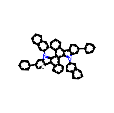 c1ccc(-c2ccc3c4c5ccccc5c5c(c6ccccc6c6c7ccc(-c8ccccc8)cc7n(-c7ccc8ccccc8c7)c65)c4n(-c4ccc5ccccc5c4)c3c2)cc1